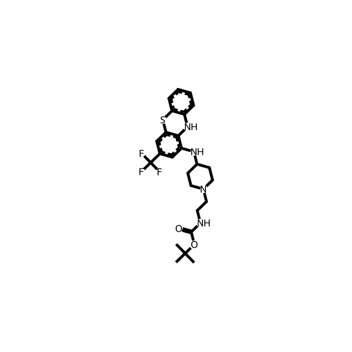 CC(C)(C)OC(=O)NCCN1CCC(Nc2cc(C(F)(F)F)cc3c2Nc2ccccc2S3)CC1